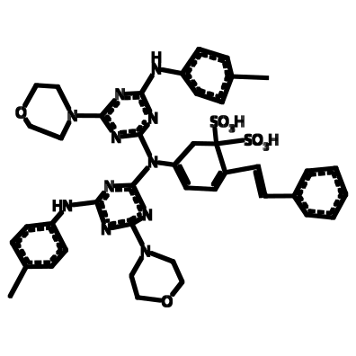 Cc1ccc(Nc2nc(N3CCOCC3)nc(N(C3=CC=C(C=Cc4ccccc4)C(S(=O)(=O)O)(S(=O)(=O)O)C3)c3nc(Nc4ccc(C)cc4)nc(N4CCOCC4)n3)n2)cc1